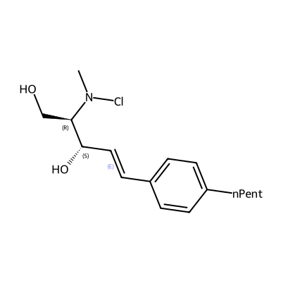 CCCCCc1ccc(/C=C/[C@H](O)[C@@H](CO)N(C)Cl)cc1